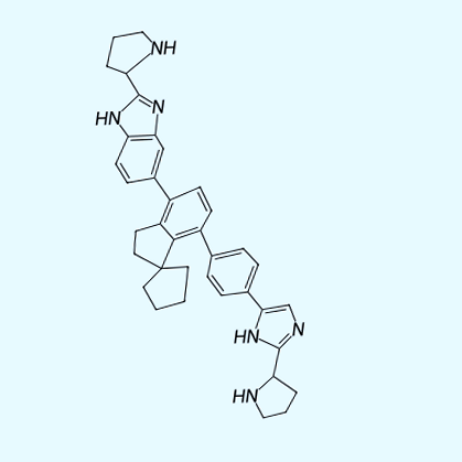 c1cc(-c2ccc(-c3ccc4[nH]c(C5CCCN5)nc4c3)c3c2C2(CCCC2)CC3)ccc1-c1cnc(C2CCCN2)[nH]1